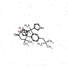 CC1(C)CC(=O)CC(C)(C)P1c1ccc(C[Si](C)(C)C)cc1C(P)(c1cc[nH]c1)c1cc[nH]c1